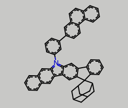 c1cc(-c2ccc3c(ccc4ccccc43)c2)cc(-n2c3cc4c(cc3c3cc5ccccc5cc32)C2(c3ccccc3-4)C3CC4CC(C3)CC2C4)c1